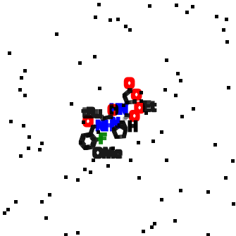 CCO[C@@H]1OC(=O)C[C@@H]1NC(=O)[C@@H]1[C@H]2CCC(C2)N1C(=O)[C@@H](NC(=O)c1cccc(OC)c1F)C(C)(C)C